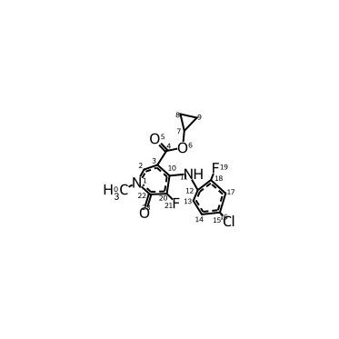 Cn1cc(C(=O)OC2CC2)c(Nc2ccc(Cl)cc2F)c(F)c1=O